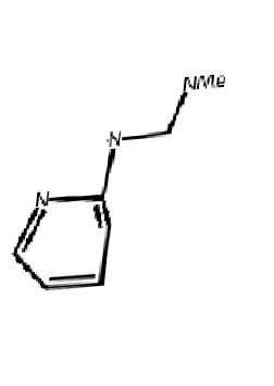 CNC[N]c1ccccn1